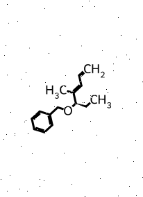 C=C/C=C(\C)[C@@H](CC)OCc1ccccc1